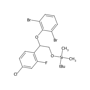 CC(C)(C)[Si](C)(C)OCC(Oc1c(Br)cccc1Br)c1ccc(Cl)cc1F